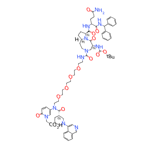 CC(C)(C)OC(=O)N[C@H]1CN(C(=O)NCCOCCOCCOCCOCCN(C(=O)[C@H]2CCCN(c3cncc4ccccc34)C2)c2ccc(=O)n(CC(=O)O)c2)CC[C@H]2CC[C@@H](C(=O)NC(CCC(N)=O)C(=O)NC(c3ccccc3)c3ccccc3)N2C1=O